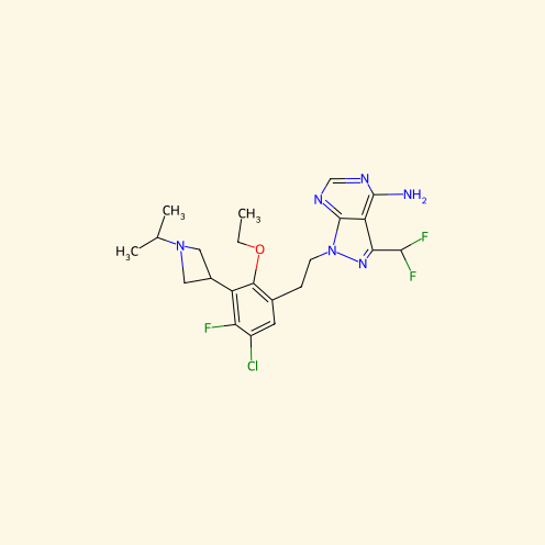 CCOc1c(CCn2nc(C(F)F)c3c(N)ncnc32)cc(Cl)c(F)c1C1CN(C(C)C)C1